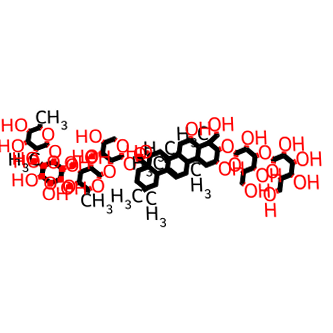 CC1OC(OC2C(O)COC(OC3C(C)OC(OC4C(OC(=O)C56CCC(C)(C)CC5C5=CCC7C8(C)CC(O)C(OC9OC(CO)C(O)C(OC%10OC(CO)C(O)C(O)C%10O)C9O)C(C)(CO)C8C(O)CC7(C)C5(C)CC6O)OCC(O)C4O)C(O)C3OC3OC(C)C(O)C(O)C3O)C2O)C(O)C(O)C1O